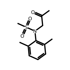 CC(=O)CN(c1c(C)cccc1C)S(C)(=O)=O